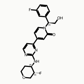 O=c1cc(-c2ccnc(N[C@@H]3CCOC[C@H]3F)n2)ccn1[C@H](CO)c1cccc(F)c1